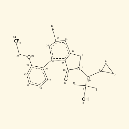 CC(C)(O)[C@@H](C1CC1)N1Cc2cc(F)cc(-c3ccccc3OCC(F)(F)F)c2C1=O